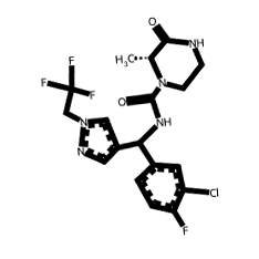 C[C@@H]1C(=O)NCCN1C(=O)NC(c1ccc(F)c(Cl)c1)c1cnn(CC(F)(F)F)c1